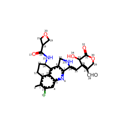 Cc1c(F)cc2nc3c(c4c2c1CC[C@H]4NC(=O)C1COC1)CN/C3=C\C1=C(C=O)COC(=O)C1O